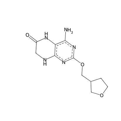 Nc1nc(OCC2CCOC2)nc2c1NC(=O)CN2